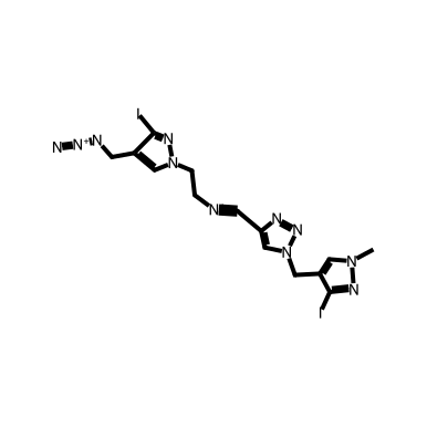 Cn1cc(Cn2cc(C#[N+]CCn3cc(CN=[N+]=[N-])c(I)n3)nn2)c(I)n1